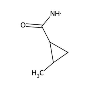 CC1CC1C([NH])=O